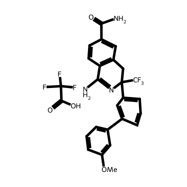 COc1cccc(-c2cccc(C3(C(F)(F)F)Cc4cc(C(N)=O)ccc4C(N)=N3)c2)c1.O=C(O)C(F)(F)F